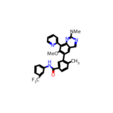 CNc1ncc2cc(-c3cc(C(=O)Nc4cccc(C(F)(F)F)c4)ccc3C)c(OC)c(-c3ccccn3)c2n1